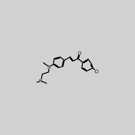 CN(C)CCN(C)c1ccc(/C=C/C(=O)c2ccc(Cl)cc2)cc1